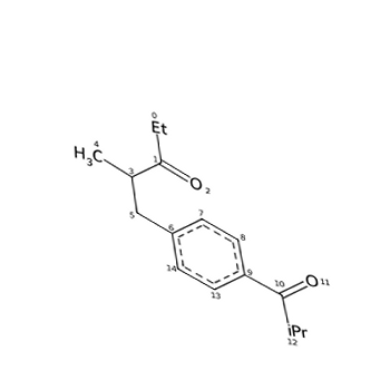 CCC(=O)C(C)Cc1ccc(C(=O)C(C)C)cc1